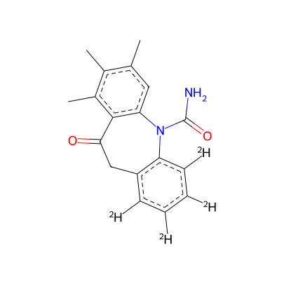 [2H]c1c([2H])c([2H])c2c(c1[2H])CC(=O)c1c(cc(C)c(C)c1C)N2C(N)=O